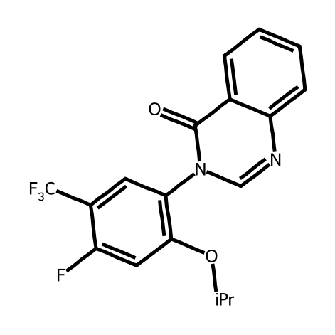 CC(C)Oc1cc(F)c(C(F)(F)F)cc1-n1cnc2ccccc2c1=O